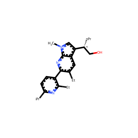 CCC[C@H](CO)c1cn(C)c2nc(-c3ccc(C(C)C)nc3CC)c(CC)cc12